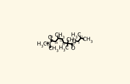 CC(C)COC(=O)C(C)(C)CCC(C)CC(=O)N(C)C